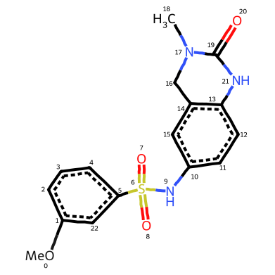 COc1cccc(S(=O)(=O)Nc2ccc3c(c2)CN(C)C(=O)N3)c1